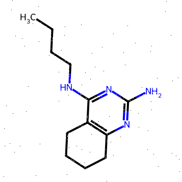 CCCCNc1nc(N)nc2c1CCCC2